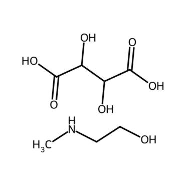 CNCCO.O=C(O)C(O)C(O)C(=O)O